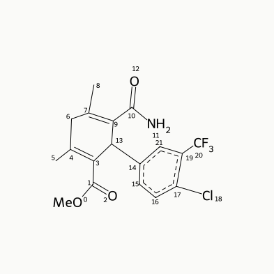 COC(=O)C1=C(C)CC(C)=C(C(N)=O)C1c1ccc(Cl)c(C(F)(F)F)c1